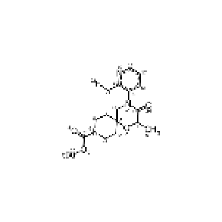 CC1OC2(CCN(C(=O)OC(C)(C)C)CC2)CN(c2cccnc2CF)C1=O